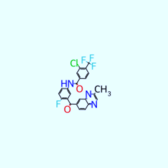 Cc1cnc2ccc(C(=O)c3cc(NC(=O)c4ccc(C(F)(F)F)c(Cl)c4)ccc3F)cc2n1